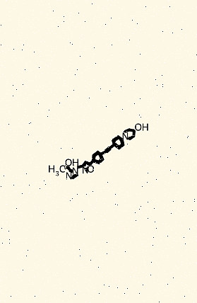 C[C@H](O)c1nccn1Cc1cc(-c2ccc(C#Cc3ccc(N4CCC(O)CC4)cc3)cc2)on1